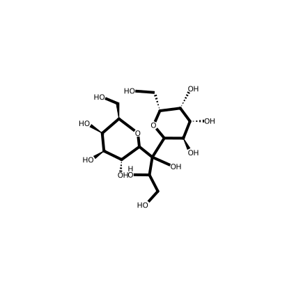 OCC(O)C(O)(C1O[C@H](CO)[C@H](O)[C@H](O)[C@H]1O)C1O[C@H](CO)[C@H](O)[C@H](O)[C@H]1O